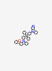 c1ccc([Si](c2ccccc2)(c2ccc(-n3c4ccccc4c4cnccc43)cc2)c2cccc(-n3c4ccccc4c4ccc5c6ccccc6oc5c43)c2)cc1